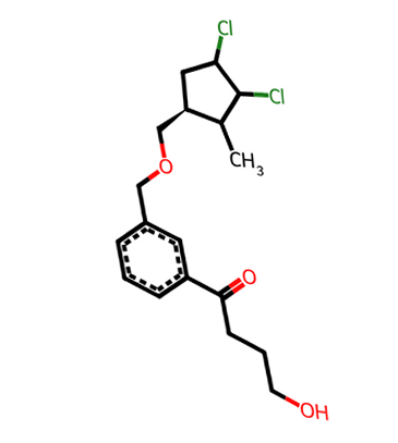 CC1C(Cl)C(Cl)C[C@@H]1COCc1cccc(C(=O)CCCO)c1